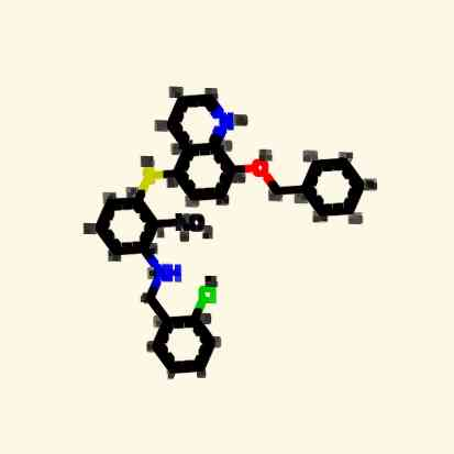 O=[N+]([O-])c1c(NCc2ccccc2Cl)cccc1Sc1ccc(OCc2ccccc2)c2ncccc12